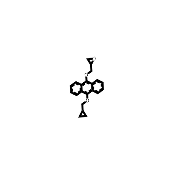 c1ccc2c(OCC3CO3)c3ccccc3c(OCC3CC3)c2c1